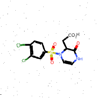 O=C(O)CC1C(=O)NC=CN1S(=O)(=O)c1ccc(Cl)c(Cl)c1